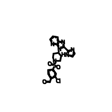 O=Cc1ccc(S(=O)(=O)N2CCC(n3c(-c4ncc[nH]4)nc4cccnc43)CC2)cc1Cl